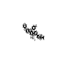 NC1(c2ccnc(-c3cnn(S(=O)(=O)C4CC4)c3)n2)C=C(NC2CCC(F)CC2)C(c2cnc(OC3CCOCC3)cn2)=CN1